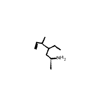 C=CC(C)C(CC)C[C@H](C)N